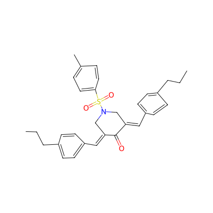 CCCc1ccc(C=C2CN(S(=O)(=O)c3ccc(C)cc3)CC(=Cc3ccc(CCC)cc3)C2=O)cc1